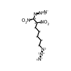 [N-]=[N+]=NCCCCCC(C(N=[N+]=[N-])[N+](=O)[O-])[N+](=O)[O-]